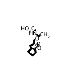 C=C(NCC(=O)O)OCC1=Cc2ccccc2S1(=O)=O